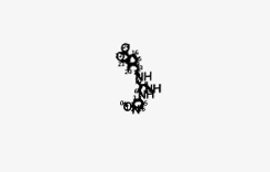 COc1cc(N/C=C(\C=N)CNCCc2ccc3c(c2C)COC3=O)ccn1